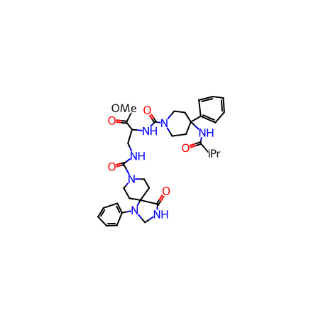 COC(=O)C(CNC(=O)N1CCC2(CC1)C(=O)NCN2c1ccccc1)NC(=O)N1CCC(NC(=O)C(C)C)(c2ccccc2)CC1